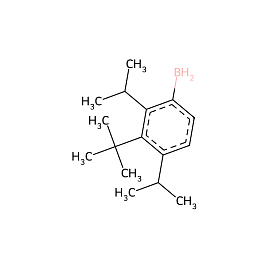 Bc1ccc(C(C)C)c(C(C)(C)C)c1C(C)C